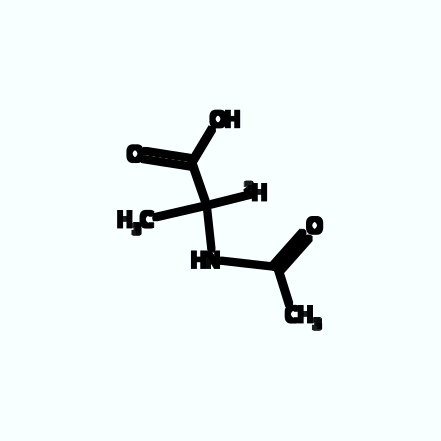 [2H]C(C)(NC(C)=O)C(=O)O